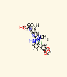 Cn1nc(Nc2cccc(-c3ccc4c(c3)OCCO4)c2Cl)c2nc(C=N[C@@H](CO)C(=O)O)ccc21